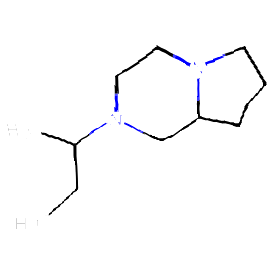 CCC(C)N1CCN2CCCC2C1